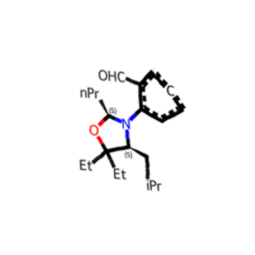 CCC[C@@H]1OC(CC)(CC)[C@H](CC(C)C)N1c1ccccc1C=O